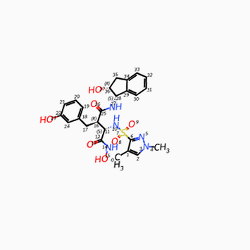 Cc1cn(C)nc1S(=O)(=O)N[C@H](C(=O)NO)[C@@H](Cc1cccc(O)c1)C(=O)N[C@H]1c2ccccc2C[C@H]1O